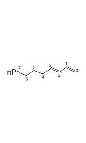 C=C/[C]=C/CCCCCC